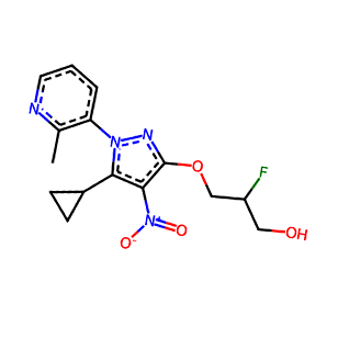 Cc1ncccc1-n1nc(OCC(F)CO)c([N+](=O)[O-])c1C1CC1